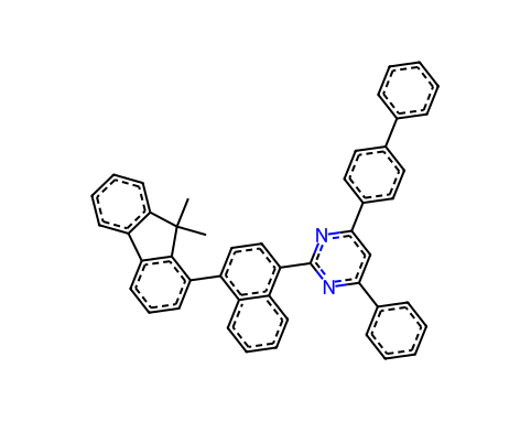 CC1(C)c2ccccc2-c2cccc(-c3ccc(-c4nc(-c5ccccc5)cc(-c5ccc(-c6ccccc6)cc5)n4)c4ccccc34)c21